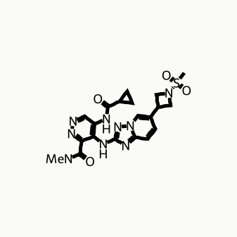 CNC(=O)c1nncc(NC(=O)C2CC2)c1Nc1nc2ccc(C3CN(S(C)(=O)=O)C3)cn2n1